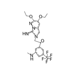 CCOc1cc2cn(CC(=O)c3cc(NC)cc(S(F)(F)(F)(F)F)c3)c(=N)n2nc1OCC